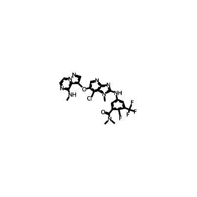 CNc1nccn2ncc(Oc3cnc4nc(Nc5cc(C(=O)N(C)C)c(F)c(C(F)(F)F)c5)n(C)c4c3Cl)c12